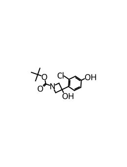 CC(C)(C)OC(=O)N1CC(O)(c2ccc(O)cc2Cl)C1